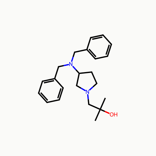 CC(C)(O)CN1CCC(N(Cc2ccccc2)Cc2ccccc2)C1